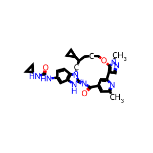 Cc1cc2cc(n1)-c1cnn(C)c1OCCCC(C1CC1)CN1/C(=N/C2=O)Nc2cc(NC(=O)NC3CC3)ccc21